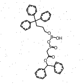 O=C(CS(=O)OB(O)OCCCC(c1ccccc1)(c1ccccc1)c1ccccc1)OC(c1ccccc1)c1ccccc1